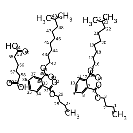 CCCCOC(=O)c1ccccc1C(=O)OCCCCCCCC(C)C.CCCCOC(=O)c1ccccc1C(=O)OCCCCCCCC(C)C.O=C(O)CCCCC(=O)O